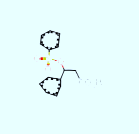 O=C(O)CC(OS(=O)(=O)c1ccccc1)c1ccccc1